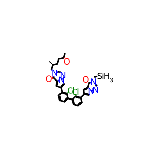 CC(=O)CC[C@H](C)Cn1cnn2cc(-c3cccc(-c4cccc(-c5cc6c(=O)n(C[SiH3])cnn6c5)c4Cl)c3Cl)cc2c1=O